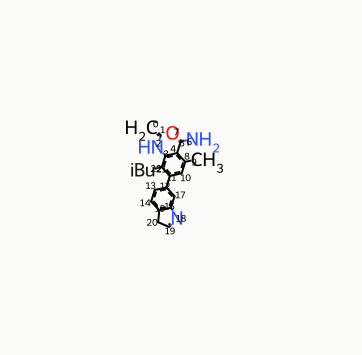 C=CNc1c(C(N)=O)c(C)cc(-c2ccc3c(c2)N=CC3)c1C(C)CC